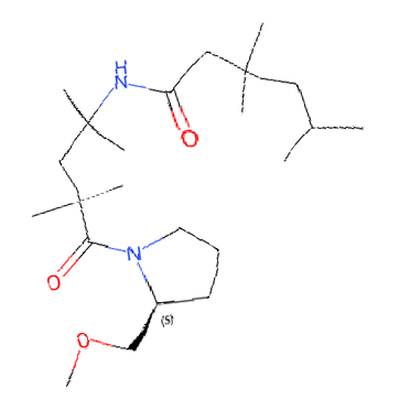 COC[C@@H]1CCCN1C(=O)C(C)(C)CC(C)(C)NC(=O)CC(C)(C)CC(C)C